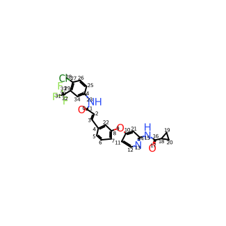 O=C(C=Cc1cccc(Oc2ccnc(NC(=O)C3CC3)c2)c1)Nc1ccc(Cl)c(C(F)(F)F)c1